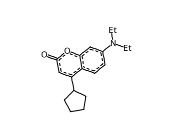 CCN(CC)c1ccc2c(C3CCCC3)cc(=O)oc2c1